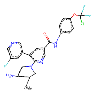 COC1CN(c2ncc(C(=O)Nc3ccc(OC(F)(F)Cl)cc3)cc2-c2cncc(F)c2)CC1N